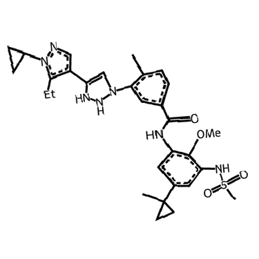 CCc1c(C2=CN(c3cc(C(=O)Nc4cc(C5(C)CC5)cc(NS(C)(=O)=O)c4OC)ccc3C)NN2)cnn1C1CC1